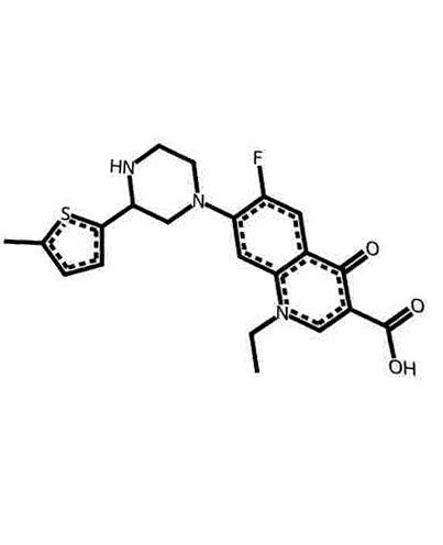 CCn1cc(C(=O)O)c(=O)c2cc(F)c(N3CCNC(c4ccc(C)s4)C3)cc21